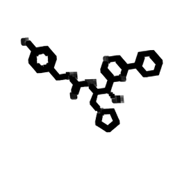 O=C(NCc1ccc(Cl)cc1)N[C@H](CN1CCCC1)[C@@H](O)C1=COC=C(C2=CC=CCC2)O1